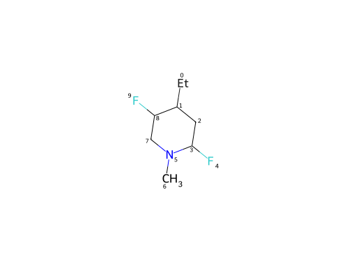 CCC1CC(F)N(C)CC1F